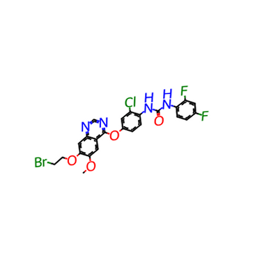 COc1cc2c(Oc3ccc(NC(=O)Nc4ccc(F)cc4F)c(Cl)c3)ncnc2cc1OCCBr